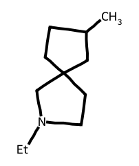 CCN1CCC2(CCC(C)C2)C1